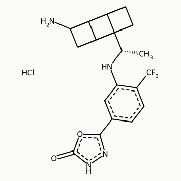 C[C@H](Nc1cc(-c2n[nH]c(=O)o2)ccc1C(F)(F)F)C12C3C4C1C1C2C3C41N.Cl